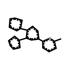 Cc1cccc(-c2ccc(-c3ccccc3)c(-c3ccccc3)c2)n1